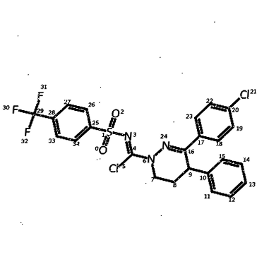 O=S(=O)(N=C(Cl)N1CCC(c2ccccc2)C(c2ccc(Cl)cc2)=N1)c1ccc(C(F)(F)F)cc1